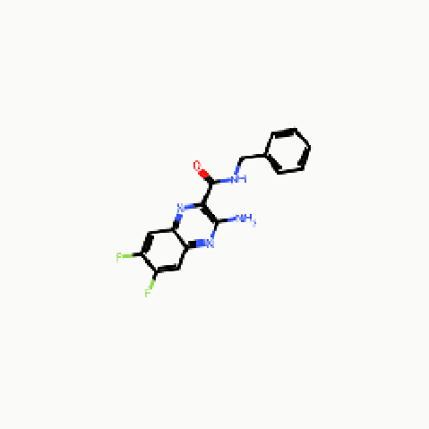 Nc1nc2cc(F)c(F)cc2nc1C(=O)NCc1ccccc1